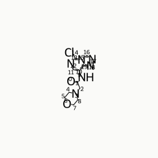 O=C(CN1CCOCC1)Nc1cnc(Cl)n2cnnc12